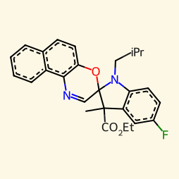 CCOC(=O)C1(C)c2cc(F)ccc2N(CC(C)C)C12C=Nc1c(ccc3ccccc13)O2